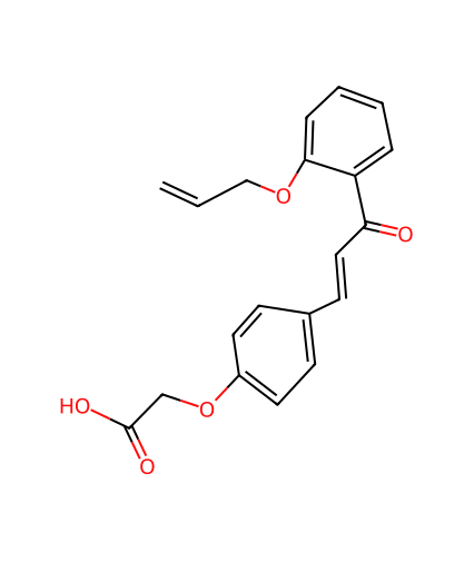 C=CCOc1ccccc1C(=O)/C=C/c1ccc(OCC(=O)O)cc1